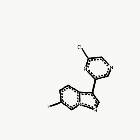 Fc1ccc2c(-c3cncc(Cl)n3)cnn2c1